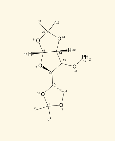 CC1(C)OC[C@@H]([C@H]2O[C@@H]3OC(C)(C)O[C@@H]3C2OP)O1